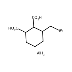 CC(C)CC1CCCC(C(=O)O)C1C(=O)O.[AlH3]